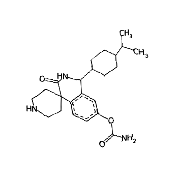 CC(C)C1CCC(C2NC(=O)C3(CCNCC3)c3ccc(OC(N)=O)cc32)CC1